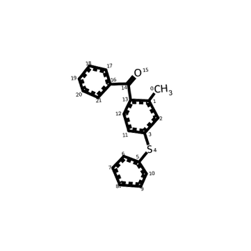 Cc1cc(Sc2cc[c]cc2)ccc1C(=O)c1ccccc1